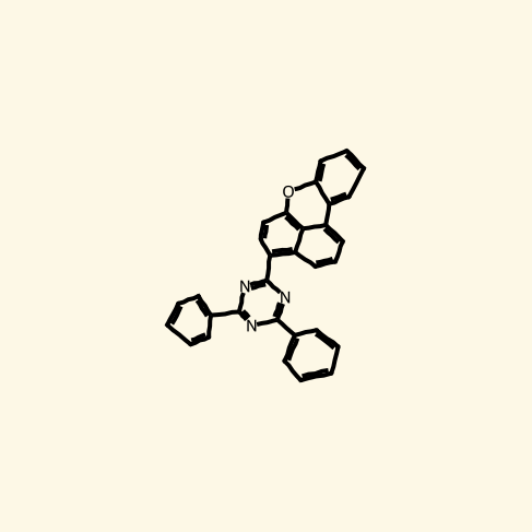 c1ccc(-c2nc(-c3ccccc3)nc(-c3ccc4c5c(cccc35)-c3ccccc3O4)n2)cc1